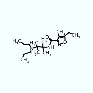 CCCN(CCC)C(C)(C)C(C)(C)NC(=O)c1noc(CC)c1C